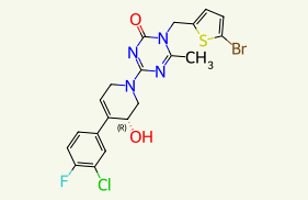 Cc1nc(N2CC=C(c3ccc(F)c(Cl)c3)[C@@H](O)C2)nc(=O)n1Cc1ccc(Br)s1